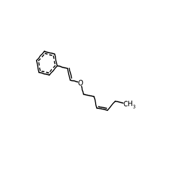 CC/C=C\CCOC=Cc1ccccc1